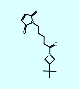 C=C1C=CC(=O)N1CCCCC(=O)N1CC(C(C)(C)C)C1